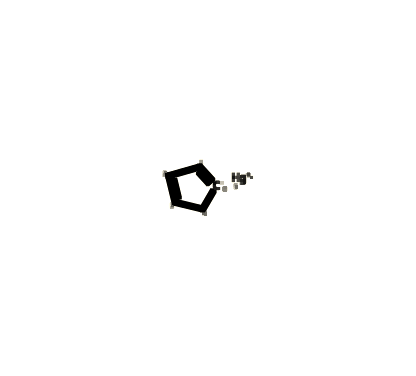 [C-]1=CC=CC1.[Hg+]